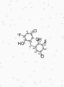 Oc1c(F)cc(Cl)cc1Cc1cc(Cl)cc(F)c1O